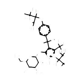 [2H]C([2H])([2H])c1c(C([2H])([2H])c2ccc(OC([2H])(C([2H])([2H])[2H])C([2H])([2H])C)cc2)c(O[C@@H]2O[C@H](CO)[C@@H](O)[C@H](O)[C@H]2O)nn1C([2H])(C([2H])([2H])[2H])C([2H])([2H])[2H]